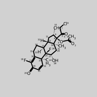 CC(=O)O[C@]1(C(=O)CCl)[C@@H](C)C[C@H]2[C@@H]3CCC4=C(F)C(=O)C=C[C@]4(C)[C@@]3(F)[C@@H](O)C[C@@]21C